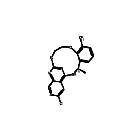 C[C@H]1Nc2nc(nc3cnc(Cl)cc23)OCCOc2c1cccc2C(F)(F)F